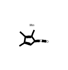 CC1=CC(=C=O)C(C)=C1C.[Mn]